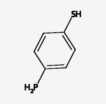 Pc1ccc(S)cc1